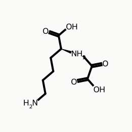 CC(=O)C(=O)O.NCCCC[C@H](N)C(=O)O